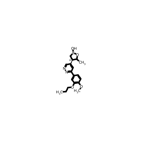 CCCOc1cc(-c2cc([C@H]3CB(O)OC3C)cnn2)ccc1OC